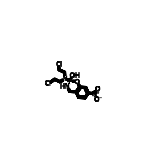 O=[N+]([O-])c1ccc2c(c1)O[P](O)(N(CCCl)CCCl)NC2